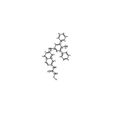 CCNC(=O)Nc1ccc2ncc(Nc3cc(-c4ccccc4)c(O)c(-c4ccccc4)c3)nc2n1